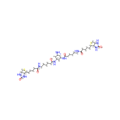 NC1CC(NC(=O)CCCCCNC(=O)CCCCC2SCC3NC(=O)NC32)CC(NC(=O)CCCCCNC(=O)CCCCC2SCC3NC(=O)NC32)C1